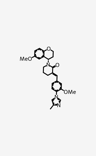 COc1ccc2c(c1)[C@H](N1CCC/C(=C\c3ccc(-n4cnc(C)c4)c(OC)c3)C1=O)CCO2